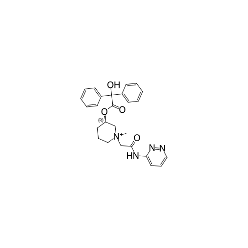 C[N+]1(CC(=O)Nc2cccnn2)CCC[C@@H](OC(=O)C(O)(c2ccccc2)c2ccccc2)C1